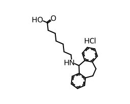 Cl.O=C(O)CCCCCCNC1c2ccccc2CCc2ccccc21